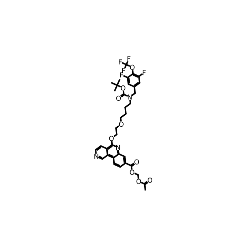 CC(=O)OCOC(=O)c1ccc2c(c1)nc(OCCOCCCCN(Cc1cc(F)c(OC(F)(F)F)c(F)c1)C(=O)OC(C)(C)C)c1ccncc12